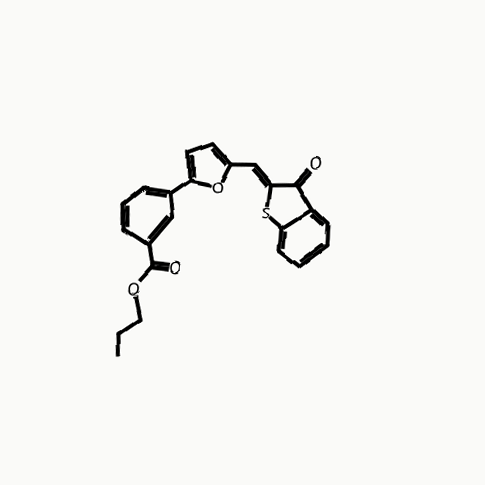 CCCOC(=O)c1cccc(-c2ccc(C=C3Sc4ccccc4C3=O)o2)c1